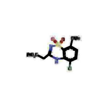 CCOC(=O)CC1=NS(=O)(=O)c2c(OC)ccc(Cl)c2N1